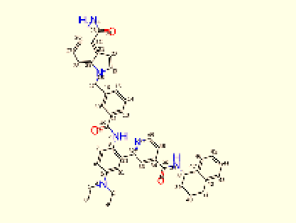 CCN(CC)c1ccc(NC(=O)c2cccc(Cn3ccc4c(C(N)=O)cccc43)c2)c(-c2cc(C(=O)N[C@H]3CCCc4ccccc43)ccn2)c1